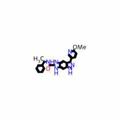 COc1ccc(-c2n[nH]c3cc4[nH]c(C(=O)NC(C)c5ccccc5)nc4cc23)cn1